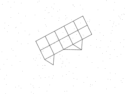 C1C2CC34C5C36C53C57CC5C5CC8C9C%10C1C24C%106C93C587